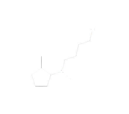 CC1CCCC1N(C)CCCCO